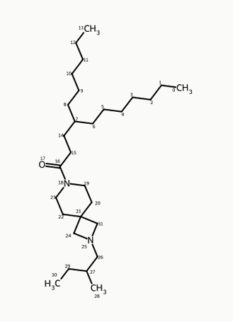 CCCCCCCC(CCCCCC)CCC(=O)N1CCC2(CC1)CN(CC(C)CC)C2